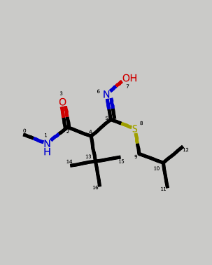 CNC(=O)C(/C(=N/O)SCC(C)C)C(C)(C)C